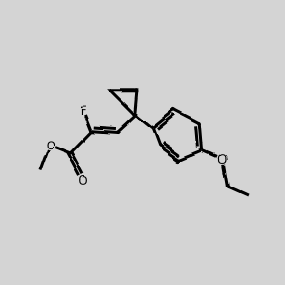 CCOc1ccc(C2(C=C(F)C(=O)OC)CC2)cc1